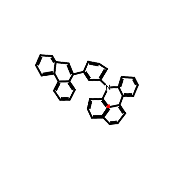 c1ccc(-c2ccccc2N(c2ccccc2)c2cccc(-c3cc4ccccc4c4ccccc34)c2)cc1